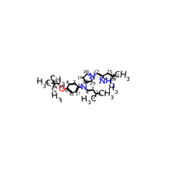 CC(C)CCN(c1ccc(OCC(C)(C)C)cc1)[C@H]1CCN(CC(N)CC(C)C)C1